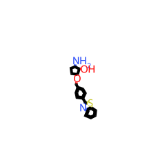 NC1CCC(OCc2ccc(-c3nc4ccccc4s3)cc2)C1O